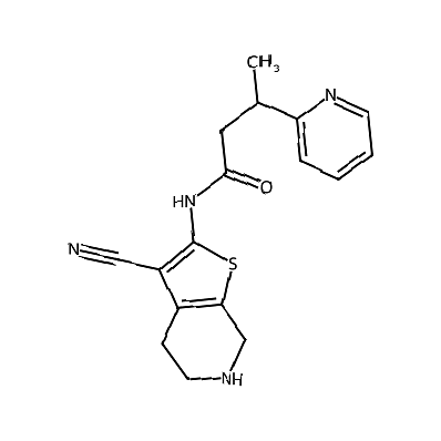 CC(CC(=O)Nc1sc2c(c1C#N)CCNC2)c1ccccn1